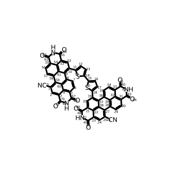 N#Cc1cc2c3c(ccc4c5c(-c6ccc(-c7ccc(-c8cc9c%10c(cc(C#N)c%11c%12ccc%13c%14c(ccc(c8c%10%11)c%14%12)C(=O)NC%13=O)C(=O)NC9=O)s7)s6)cc6c7c(ccc(c1c34)c75)C(=O)NC6=O)C(=O)NC2=O